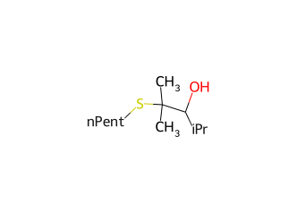 CCCCCSC(C)(C)C(O)C(C)C